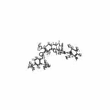 COc1cc(C=C(C)C(=O)NNc2c(F)c(F)c(F)c(F)c2F)ccc1OCc1ccc(C(F)(F)F)cc1C(F)(F)F